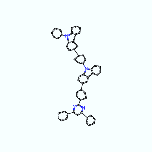 c1ccc(-c2cc(-c3ccccc3)nc(-c3ccc(-c4ccc5c(c4)c4ccccc4n5-c4ccc(-c5ccc6c(c5)c5ccccc5n6-c5ccccc5)cc4)cc3)n2)cc1